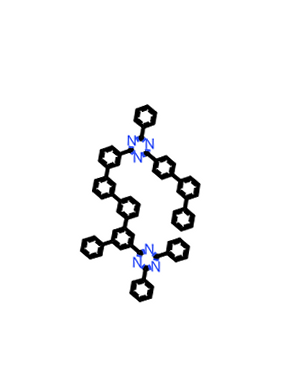 c1ccc(-c2cccc(-c3ccc(-c4nc(-c5ccccc5)nc(-c5cccc(-c6cccc(-c7cccc(-c8cc(-c9ccccc9)cc(-c9nc(-c%10ccccc%10)nc(-c%10ccccc%10)n9)c8)c7)c6)c5)n4)cc3)c2)cc1